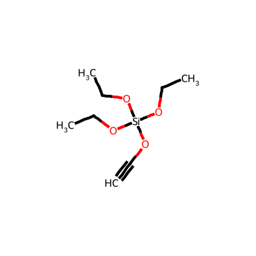 C#CO[Si](OCC)(OCC)OCC